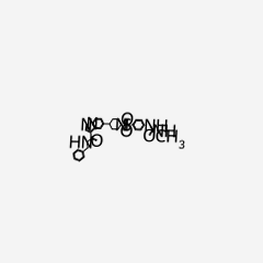 CNC(=O)Nc1ccc(S(=O)(=O)N2CCC(c3ccn4ncc(C(=O)NCc5ccccc5)c4c3)CC2)cc1